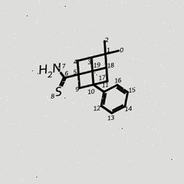 CC1(C)C2CC3(C(N)=S)CC4(c5ccccc5)CC1C234